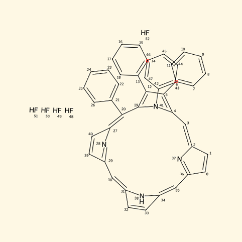 C1=Cc2cc3c(-c4ccccc4)c(-c4ccccc4)c(c(-c4ccccc4)c4nc(cc5ccc(cc1n2)[nH]5)C=C4)n3-c1ccccc1.F.F.F.F.F